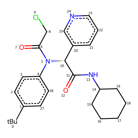 CC(C)(C)c1ccc(N(C(=O)CCl)[C@@H](C(=O)NC2CCCCC2)c2cccnc2)cc1